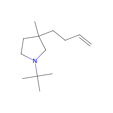 C=CCCC1(C)CCN(C(C)(C)C)C1